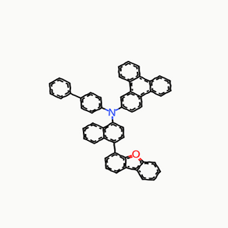 c1ccc(-c2ccc(N(c3ccc4c5ccccc5c5ccccc5c4c3)c3ccc(-c4cccc5c4oc4ccccc45)c4ccccc34)cc2)cc1